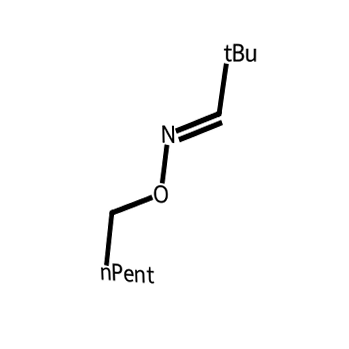 CCCCCCON=CC(C)(C)C